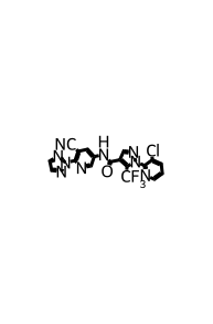 N#Cc1cc(NC(=O)c2cnn(-c3ncccc3Cl)c2C(F)(F)F)cnc1-n1nccn1